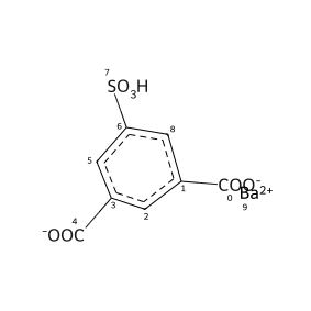 O=C([O-])c1cc(C(=O)[O-])cc(S(=O)(=O)O)c1.[Ba+2]